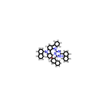 c1ccc2c(C3=NC(n4c5ccccc5c5ccc6c(c7ccccc7n6-c6cccc7ccccc67)c54)=NC(c4cccc5ccccc45)N3)cccc2c1